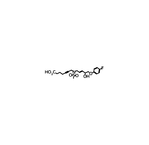 CS(=O)(=O)N(CC#CCCCC(=O)O)CC=CC(O)COc1ccc(F)cc1